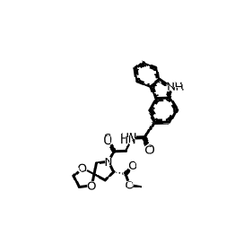 COC(=O)[C@@H]1CC2(CN1C(=O)CNC(=O)c1ccc3[nH]c4ccccc4c3c1)OCCO2